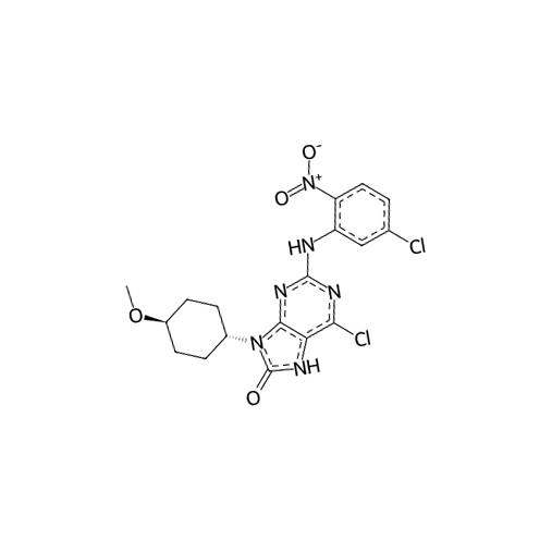 CO[C@H]1CC[C@H](n2c(=O)[nH]c3c(Cl)nc(Nc4cc(Cl)ccc4[N+](=O)[O-])nc32)CC1